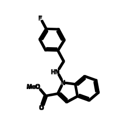 COC(=O)c1cc2ccccc2n1NCc1ccc(F)cc1